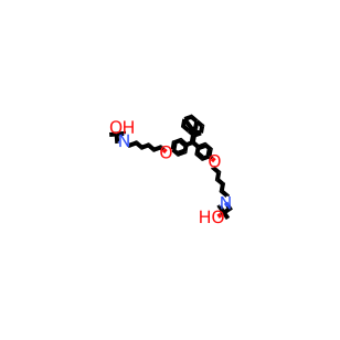 CC1(O)CN(CCCCCCOc2ccc(C(=C3C4CC5CC(C4)CC3C5)c3ccc(OCCCCCCN4CC(C)(O)C4)cc3)cc2)C1